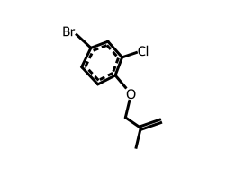 C=C(C)COc1ccc(Br)cc1Cl